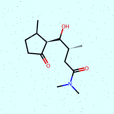 CC1CCC(=O)[C@@H]1C(O)[C@H](C)CC(=O)N(C)C